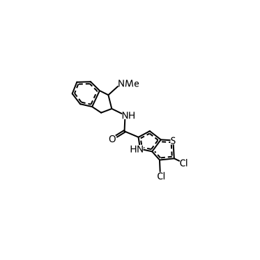 CNC1c2ccccc2CC1NC(=O)c1cc2sc(Cl)c(Cl)c2[nH]1